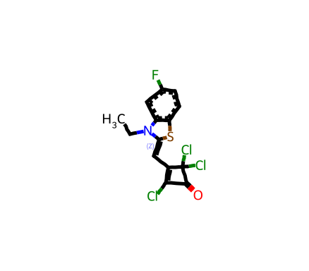 CCN1/C(=C/C2=C(Cl)C(=O)C2(Cl)Cl)Sc2ccc(F)cc21